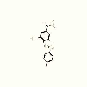 Cc1ccc(S(=O)(=O)Oc2cc(C(=O)N(C)C)cc(O)c2O)cc1